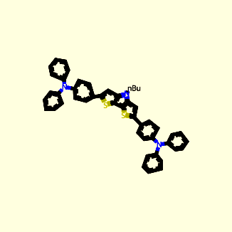 CCCCn1c2cc(-c3ccc(N(c4ccccc4)c4ccccc4)cc3)sc2c2sc(-c3ccc(N(c4ccccc4)c4ccccc4)cc3)cc21